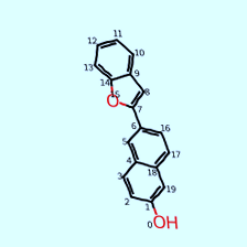 Oc1ccc2cc(-c3cc4ccccc4o3)ccc2c1